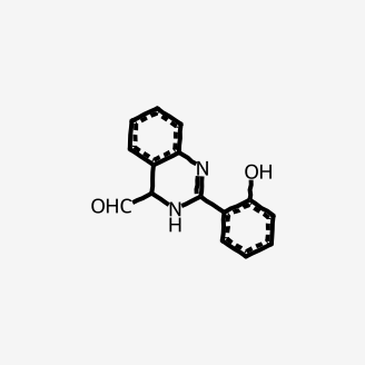 O=CC1NC(c2ccccc2O)=Nc2ccccc21